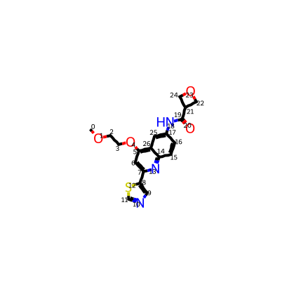 COCCOc1cc(-c2cncs2)nc2ccc(NC(=O)C3COC3)cc12